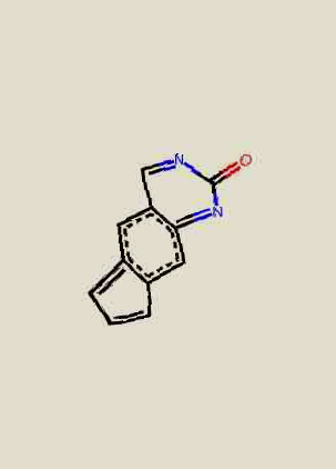 O=C1N=Cc2cc3c(cc2=N1)C=CC=3